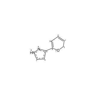 C1=CCOC(c2cc[nH]n2)=C1